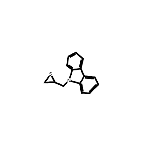 c1ccc2c(c1)c1ccccc1n2CC1CS1